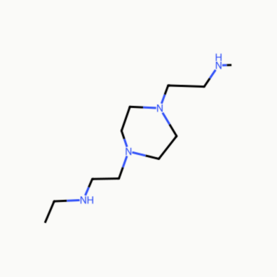 CCNCCN1CCN(CCNC)CC1